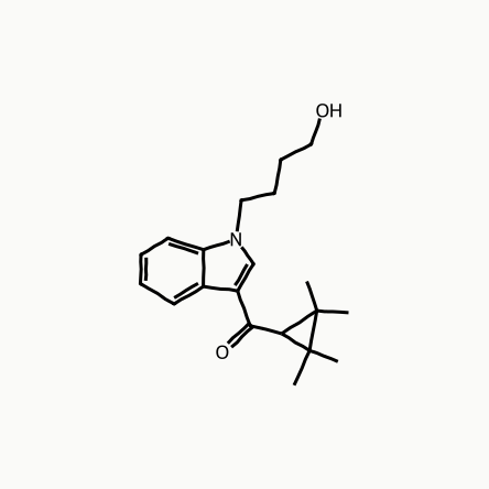 CC1(C)C(C(=O)c2cn(CCCCO)c3ccccc23)C1(C)C